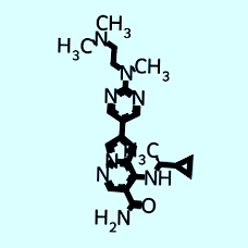 C[C@@H](Nc1c(C(N)=O)cnn2cc(-c3cnc(N(C)CCN(C)C)nc3)cc12)C1CC1